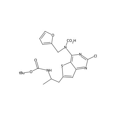 CC(Cc1cc2nc(Cl)nc(N(Cc3ccco3)C(=O)O)c2s1)NC(=O)OC(C)(C)C